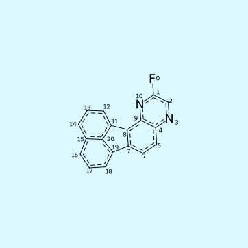 Fc1cnc2ccc3c(c2n1)-c1cccc2cccc-3c12